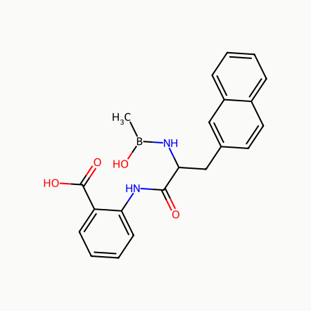 CB(O)NC(Cc1ccc2ccccc2c1)C(=O)Nc1ccccc1C(=O)O